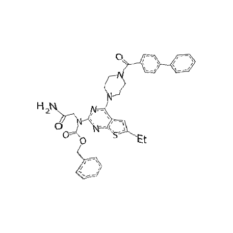 CCc1cc2c(N3CCN(C(=O)c4ccc(-c5ccccc5)cc4)CC3)nc(N(CC(N)=O)C(=O)OCc3ccccc3)nc2s1